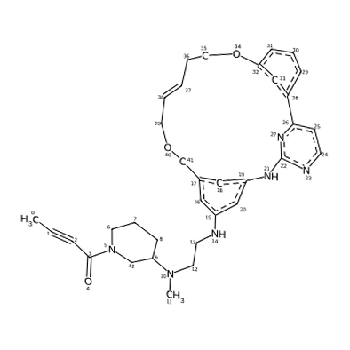 CC#CC(=O)N1CCCC(N(C)CCNc2cc3cc(c2)Nc2nccc(n2)-c2cccc(c2)OCC/C=C/COC3)C1